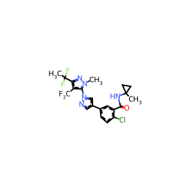 Cn1nc(C(C)(F)F)c(C(F)(F)F)c1-n1cc(-c2ccc(Cl)c(C(=O)NC3(C)CC3)c2)cn1